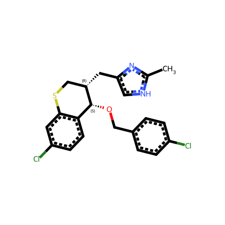 Cc1nc(C[C@H]2CSc3cc(Cl)ccc3[C@H]2OCc2ccc(Cl)cc2)c[nH]1